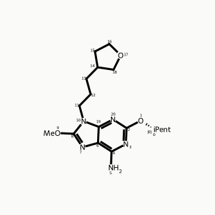 CCC[C@@H](C)Oc1nc(N)c2nc(OC)n(CCCC3CCOC3)c2n1